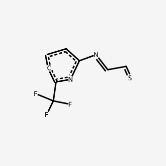 FC(F)(F)c1cccc(N=CC=S)n1